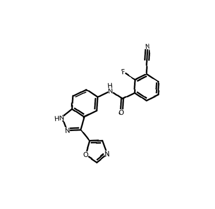 N#Cc1cccc(C(=O)Nc2ccc3[nH]nc(-c4cnco4)c3c2)c1F